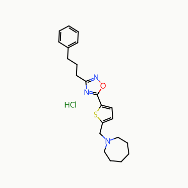 Cl.c1ccc(CCCc2noc(-c3ccc(CN4CCCCCC4)s3)n2)cc1